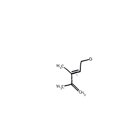 C=C(C)/C(C)=C/C[O]